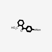 CCCCCCCCCc1ccc(C(=O)C2CCCCC2C(=O)O)cc1